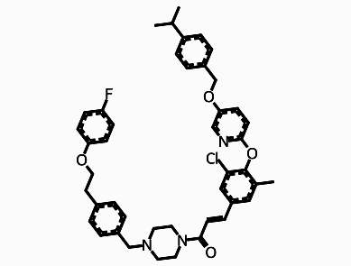 Cc1cc(C=CC(=O)N2CCN(Cc3ccc(CCOc4ccc(F)cc4)cc3)CC2)cc(Cl)c1Oc1ccc(OCc2ccc(C(C)C)cc2)cn1